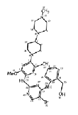 COc1cc(N2CCC(N3CCN(C)CC3)CC2)c(C)cc1Nc1ncc(Br)c(Nc2ccccc2CO)n1